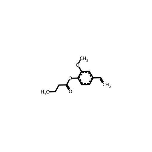 C=Cc1ccc(OC(=O)CCC)c(OC)c1